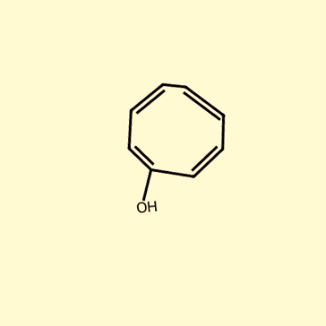 OC1=CC=CC=CC=C1